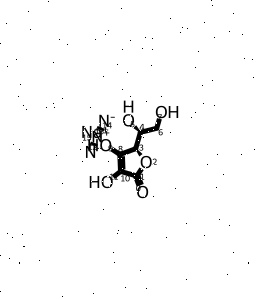 O=C1O[C@H]([C@@H](O)CO)C(O)=C1O.[N-]=[N+]=[N-].[Na+]